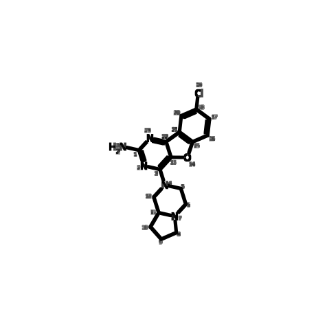 Nc1nc(N2CCN3CCCC3C2)c2oc3ccc(Cl)cc3c2n1